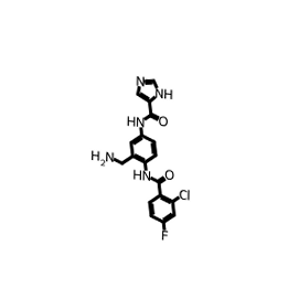 NCc1cc(NC(=O)c2cnc[nH]2)ccc1NC(=O)c1ccc(F)cc1Cl